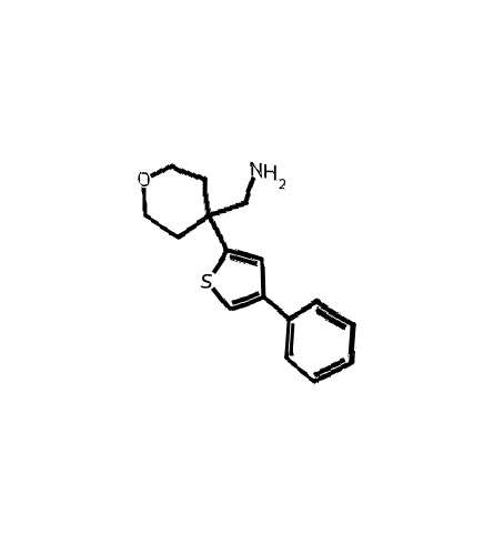 NCC1(c2cc(-c3ccccc3)cs2)CCOCC1